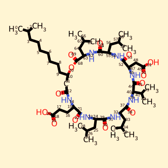 CC(C)CCCCCCCC1CC(=O)NC(CCC(=O)O)C(=O)NC(CC(C)C)C(=O)NC(CC(C)C)C(=O)NC(C(C)C)C(=O)NC(CC(=O)O)C(=O)NC(CC(C)C)C(=O)NC(CC(C)C)C(=O)O1